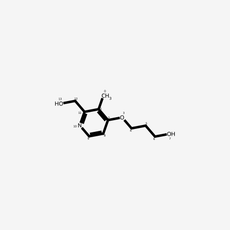 Cc1c(OCCCO)ccnc1CO